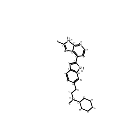 Cc1nc2c(-c3cc4ccc(CCN(C)C5CCCCC5)cc4[nH]3)ccnc2[nH]1